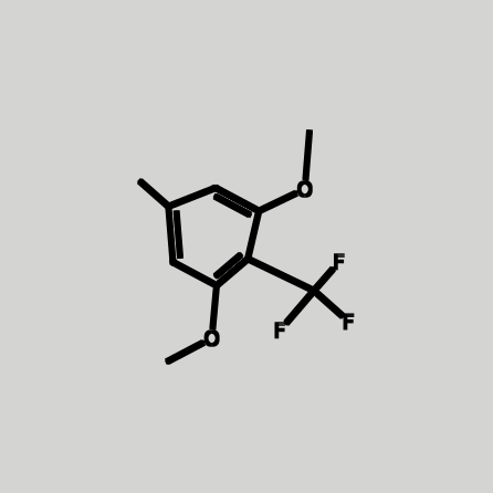 COc1cc(C)cc(OC)c1C(F)(F)F